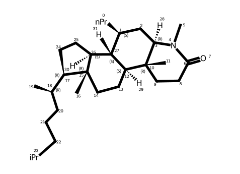 CCC[C@H]1C[C@H]2N(C)C(=O)CC[C@]2(C)[C@H]2CC[C@]3(C)[C@@H]([C@H](C)CCCC(C)C)CC[C@H]3[C@H]12